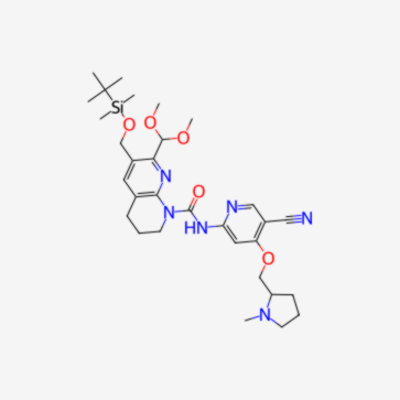 COC(OC)c1nc2c(cc1CO[Si](C)(C)C(C)(C)C)CCCN2C(=O)Nc1cc(OCC2CCCN2C)c(C#N)cn1